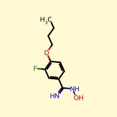 CCCCOc1ccc(C(=N)NO)cc1F